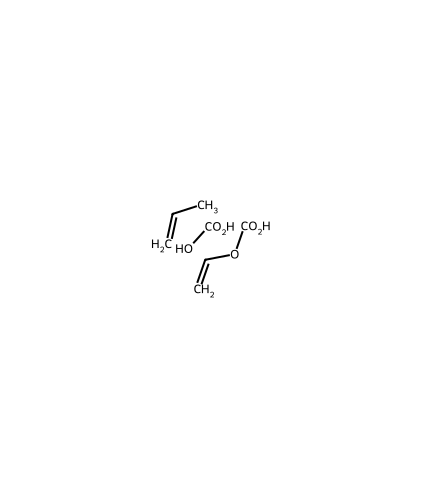 C=CC.C=COC(=O)O.O=C(O)O